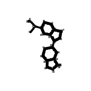 CCCN(C)c1ccc2ncc(-c3ccc4cn[nH]c4c3)n2n1